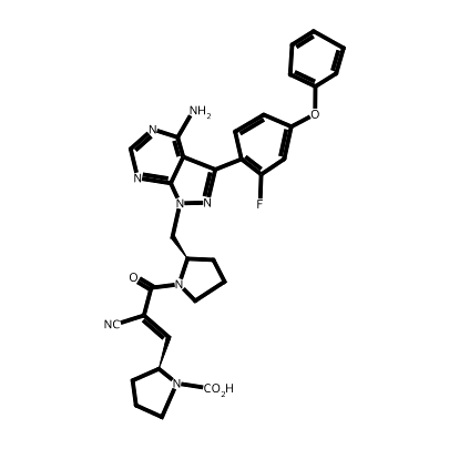 N#C/C(=C\[C@@H]1CCCN1C(=O)O)C(=O)N1CCC[C@@H]1Cn1nc(-c2ccc(Oc3ccccc3)cc2F)c2c(N)ncnc21